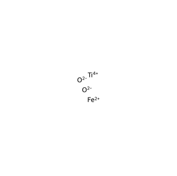 [Fe+2].[O-2].[O-2].[Ti+4]